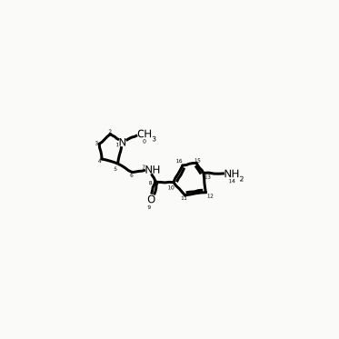 CN1CCCC1CNC(=O)c1ccc(N)cc1